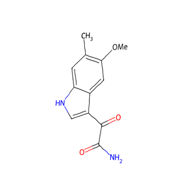 COc1cc2c(C(=O)C(N)=O)c[nH]c2cc1C